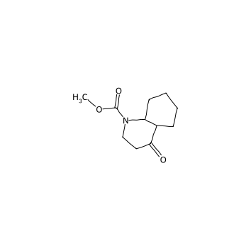 COC(=O)N1CCC(=O)C2CCCCC21